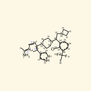 C\C(N)=N/C=N\C(=C(/C)c1cn[nH]c1)N1CCN(C(CN2CCC2)c2cccc(C(F)(F)F)c2Cl)CC1